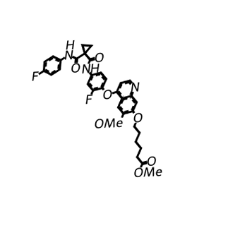 COC(=O)CCCCCOc1cc2nccc(Oc3ccc(NC(=O)C4(C(=O)Nc5ccc(F)cc5)CC4)cc3F)c2cc1OC